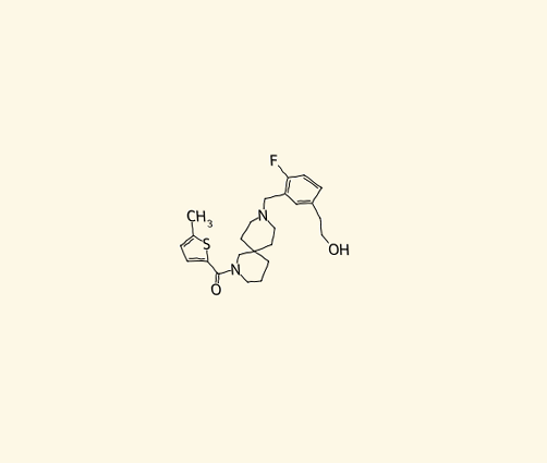 Cc1ccc(C(=O)N2CCCC3(CCN(Cc4cc(CCO)ccc4F)CC3)C2)s1